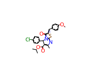 COc1ccc(/C=c2\sc3n(c2=O)C(c2ccc(Cl)cc2)C(C(=O)OC(C)C)=C(C)N=3)cc1